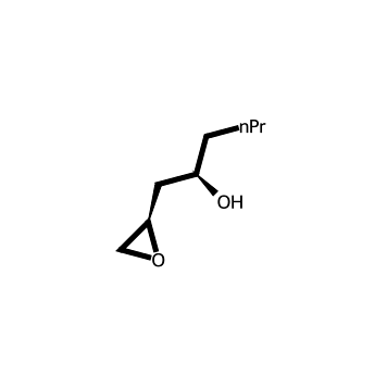 CCCC[C@@H](O)C[C@@H]1CO1